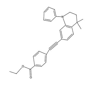 CCOC(=O)c1ccc(C#Cc2ccc3c(c2)N(c2ccccc2)CCC3(C)C)cc1